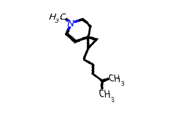 CC(C)CCCC1CC12CCN(C)CC2